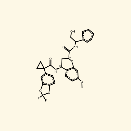 COc1ccc2c(c1)O[C@@H](C(=O)NC(CO)c1ccccc1)C[C@@H]2NC(=O)C1(c2ccc3c(c2)OC(F)(F)O3)CC1